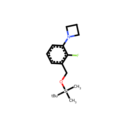 CC(C)(C)[Si](C)(C)OCc1cccc(N2C[CH]C2)c1F